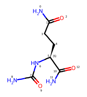 NC(=O)CC[C@H](NC(N)=O)C(N)=O